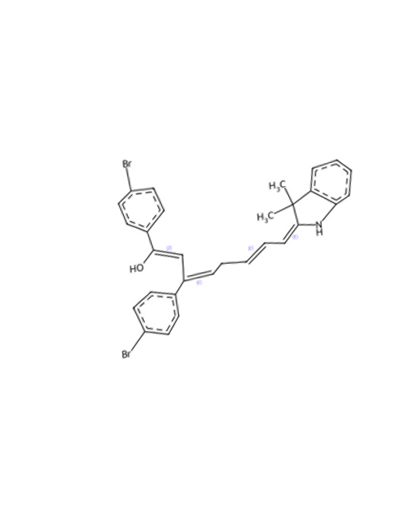 CC1(C)/C(=C\C=C\C/C=C(\C=C(/O)c2ccc(Br)cc2)c2ccc(Br)cc2)Nc2ccccc21